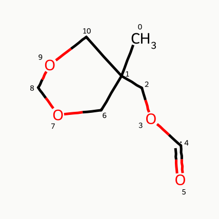 CC1(CO[C]=O)COCOC1